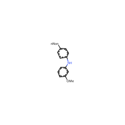 CCCCCCCCCc1ccc(Nc2cccc(OC)c2)cc1